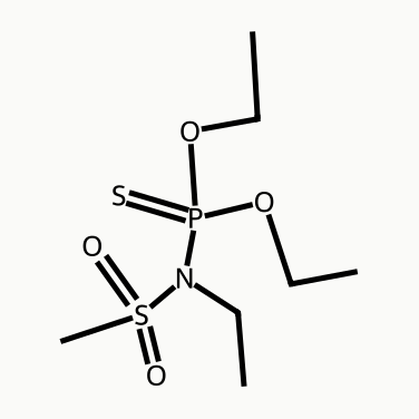 CCOP(=S)(OCC)N(CC)S(C)(=O)=O